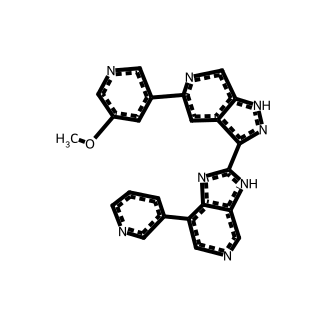 COc1cncc(-c2cc3c(-c4nc5c(-c6cccnc6)cncc5[nH]4)n[nH]c3cn2)c1